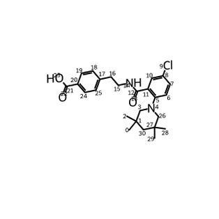 CC1(C)CN(c2ccc(Cl)cc2C(=O)NCCc2ccc(C(=O)O)cc2)CC(C)(C)C1